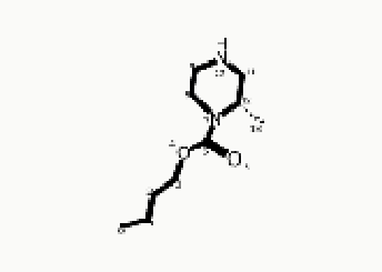 CCCCOC(=O)N1CCNC[C@@H]1C